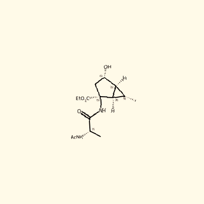 CCOC(=O)[C@]1(NC(=O)[C@H](C)NC(C)=O)C[C@H](O)[C@H]2[C@H](C)[C@H]21